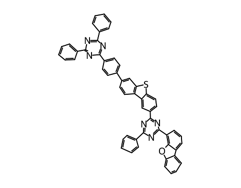 c1ccc(-c2nc(-c3ccccc3)nc(-c3ccc(-c4ccc5c(c4)sc4ccc(-c6nc(-c7ccccc7)nc(-c7cccc8c7oc7ccccc78)n6)cc45)cc3)n2)cc1